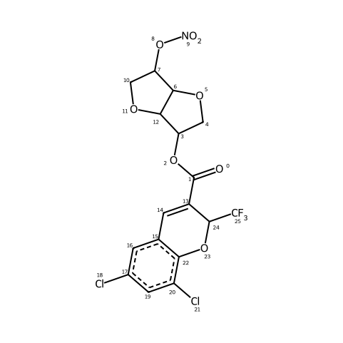 O=C(OC1COC2C(O[N+](=O)[O-])COC12)C1=Cc2cc(Cl)cc(Cl)c2OC1C(F)(F)F